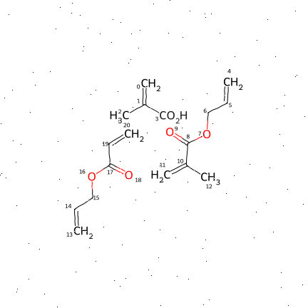 C=C(C)C(=O)O.C=CCOC(=O)C(=C)C.C=CCOC(=O)C=C